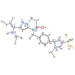 CC/C(C)=C(/c1cc2n(n1)CCC(=O)N2C(C)c1ccc(-c2nc(C(C)(F)P)cn2CC)cc1)N(C)C(C)C